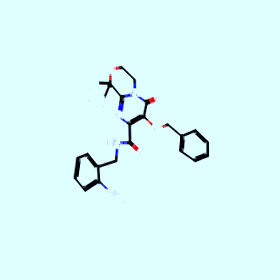 CC1(C)OCCn2c1nc(C(=O)NCc1ccccc1N)c(OCc1ccccc1)c2=O